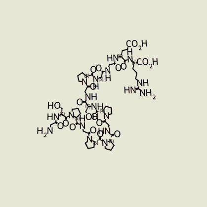 C[C@H](NC(=O)[C@@H]1CCCN1C(=O)CNC(=O)[C@H](CO)NC(=O)[C@@H]1CCCN1C(=O)CNC(=O)[C@@H]1CCCN1C(=O)[C@@H]1CCCN1C(=O)CNC(=O)[C@@H]1CCCN1C(=O)[C@H](CO)NC(=O)CN)C(=O)NCC(=O)N[C@@H](CCC(=O)O)C(=O)N[C@@H](CCCNC(=N)N)C(=O)O